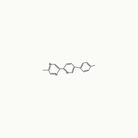 Cc1ccc(-c2ccc(-c3cnc(C)cn3)nc2)cc1